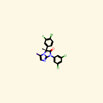 C[C@@]1(c2ccc(Br)c(F)c2)C(=O)N(c2cc(Cl)cc(Cl)c2)c2ncc(I)n21